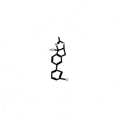 CC1=NC2(O)c3ccc(-c4cccc(Cl)c4)cc3CC2S1